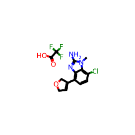 Cn1c(N)nc2c(C3=CCOC3)ccc(Cl)c21.O=C(O)C(F)(F)F